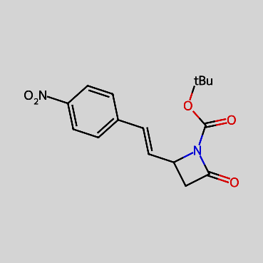 CC(C)(C)OC(=O)N1C(=O)CC1C=Cc1ccc([N+](=O)[O-])cc1